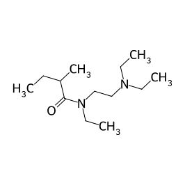 CCC(C)C(=O)N(CC)CCN(CC)CC